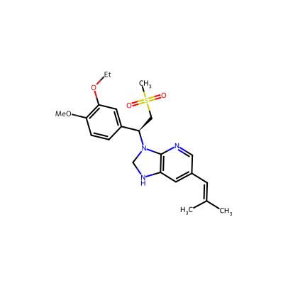 CCOc1cc([C@@H](CS(C)(=O)=O)N2CNc3cc(C=C(C)C)cnc32)ccc1OC